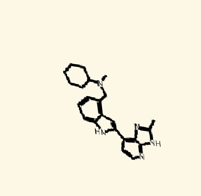 Cc1nc2c(-c3cc4c(CN(C)C5CCCCC5)cccc4[nH]3)ccnc2[nH]1